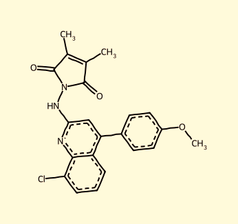 COc1ccc(-c2cc(NN3C(=O)C(C)=C(C)C3=O)nc3c(Cl)cccc23)cc1